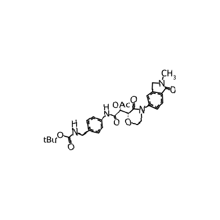 CC(=O)O[C@@H](C(=O)Nc1ccc(CNC(=O)OC(C)(C)C)cc1)[C@H]1OCCN(c2ccc3c(c2)CN(C)C3=O)C1=O